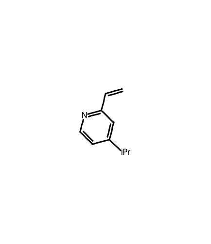 C=Cc1cc(C(C)C)ccn1